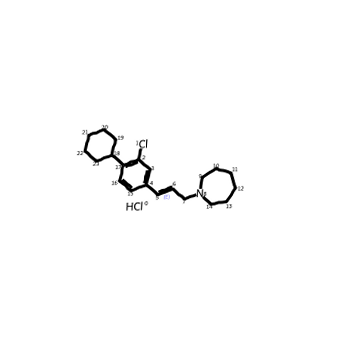 Cl.Clc1cc(/C=C/CN2CCCCCC2)ccc1C1CCCCC1